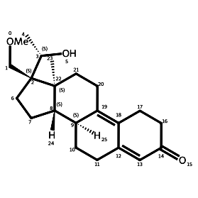 COC[C@]1([C@H](C)O)CC[C@H]2[C@@H]3CCC4=CC(=O)CCC4=C3CC[C@@]21C